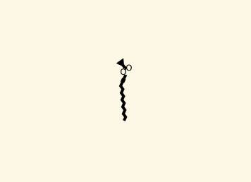 CCCCCCCCCCCC#CCOC(=O)C1CC1